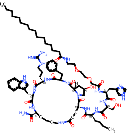 CCCCCCCCCCCCCCCC(=O)NCCOCCOCC(=O)N[C@@H](Cc1c[nH]cn1)C(=O)N[C@@H](CO)C(=O)N[C@@H](CCCC)C(=O)N[C@H]1CCC(=O)NCCCC[C@@H](C(N)=O)NC(=O)[C@H](Cc2c[nH]c3ccccc23)NC(=O)[C@H](CCCNC(=N)N)NC(=O)C(Cc2ccccc2)NC(=O)[C@@H]2C[C@@H](O)CN2C1=O